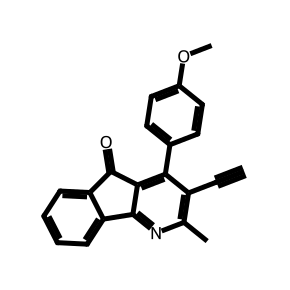 C#Cc1c(C)nc2c(c1-c1ccc(OC)cc1)C(=O)c1ccccc1-2